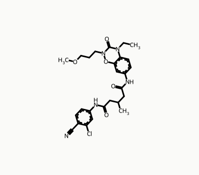 CCN1C(=O)N(CCCOC)Oc2cc(NC(=O)CC(C)CC(=O)Nc3ccc(C#N)c(Cl)c3)ccc21